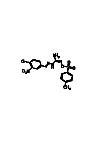 Cc1ccc(S(=O)(=O)ON=C(N)NN=Cc2ccc(Cl)c([N+](=O)[O-])c2)cc1